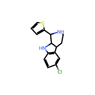 Clc1ccc2c(c1)C1CCNC(c3cccs3)C1N2